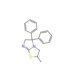 CC1CN2C(=NCC2(c2ccccc2)c2ccccc2)S1